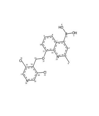 Cc1cc(B(O)O)c2cccc(OCc3c(Cl)cncc3Cl)c2n1